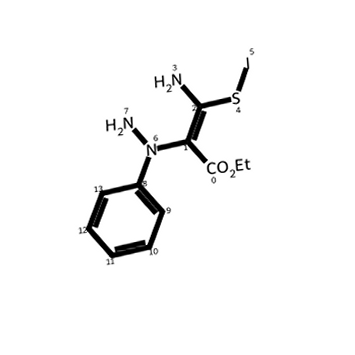 CCOC(=O)/C(=C(/N)SI)N(N)c1ccccc1